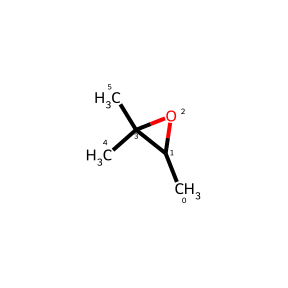 CC1OC1(C)C